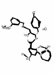 CCNc1cc(C(=O)N[C@@H](Cc2ccc(Cl)cc2)[C@@H](O)CNCc2cccc(OC)c2)cc(N2CCCCS2(O)O)c1.Cl